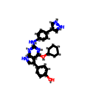 Oc1ccc(-c2c[nH]c3nc(Nc4ccc(-c5cn[nH]c5)cc4)nc(OC4CCCCC4)c23)cc1